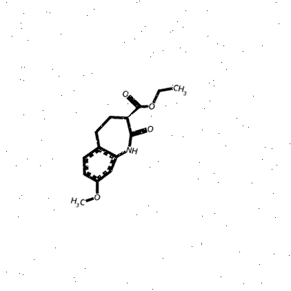 CCOC(=O)[C@@H]1CCc2ccc(OC)cc2NC1=O